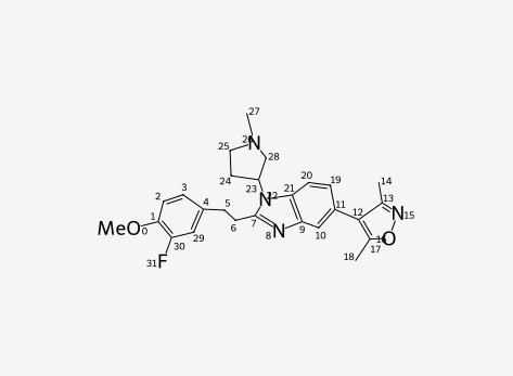 COc1ccc(CCc2nc3cc(-c4c(C)noc4C)ccc3n2C2CCN(C)C2)cc1F